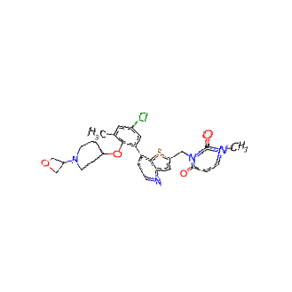 Cc1cc(Cl)cc(-c2ccnc3cc(Cn4c(=O)ccn(C)c4=O)sc23)c1OC1CCN(C2COC2)CC1